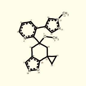 COC1(c2ncccc2-c2cnn(C)c2)Cc2cnoc2C2(CC2)C1